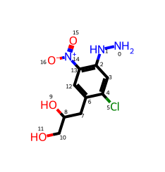 NNc1cc(Cl)c(CC(O)CO)cc1[N+](=O)[O-]